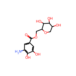 Nc1cc(C(=O)OCC2OCC(O)C(O)C2O)cc(O)c1O